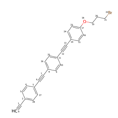 C#Cc1ccc(C#Cc2ccc(C#Cc3ccc(OCCCBr)cc3)cc2)cc1